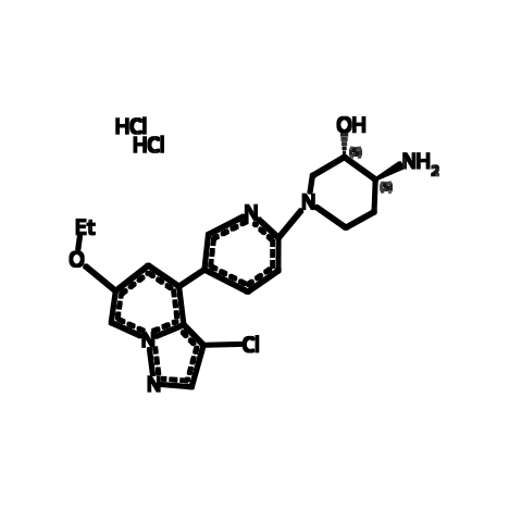 CCOc1cc(-c2ccc(N3CC[C@H](N)[C@@H](O)C3)nc2)c2c(Cl)cnn2c1.Cl.Cl